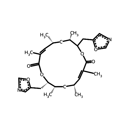 C/C1=C/[C@H](C)C[C@H](C)[C@H](Cc2cnco2)OC(=O)/C(C)=C\[C@H](C)C[C@H](C)C(Cc2cnco2)OC1=O